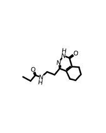 CCC(=O)NCCc1n[nH]c(=O)c2c1CCCC2